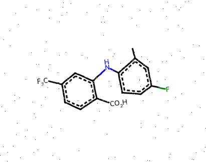 Cc1cc(F)ccc1Nc1cc(C(F)(F)F)ccc1C(=O)O